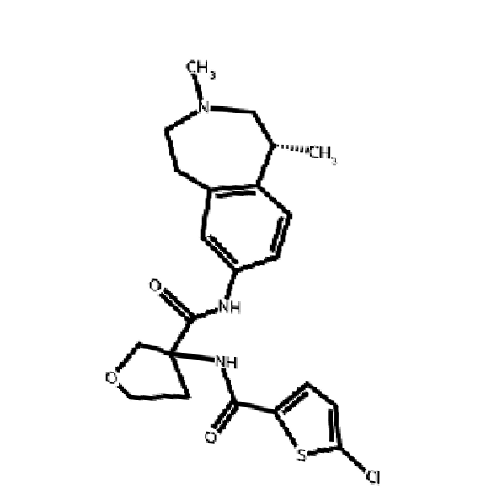 C[C@H]1CN(C)CCc2cc(NC(=O)C3(NC(=O)c4ccc(Cl)s4)CCOC3)ccc21